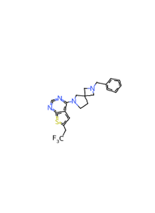 FC(F)(F)Cc1cc2c(N3CCC4(CN(Cc5ccccc5)C4)C3)ncnc2s1